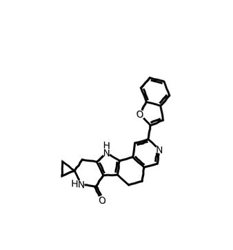 O=C1NC2(CC2)Cc2[nH]c3c(c21)CCc1cnc(-c2cc4ccccc4o2)cc1-3